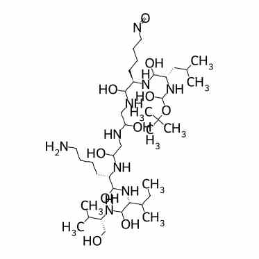 CCC(C)[C@@H](NC(O)[C@H](CCCCN)NC(O)CNC(O)CNC(O)[C@@H](CCCCN=O)NC(O)[C@H](CC(C)C)NC(O)OC(C)(C)C)C(O)N[C@H](CO)C(C)C